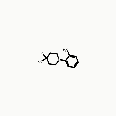 Cc1ccccc1N1CCC(C)(O)CC1